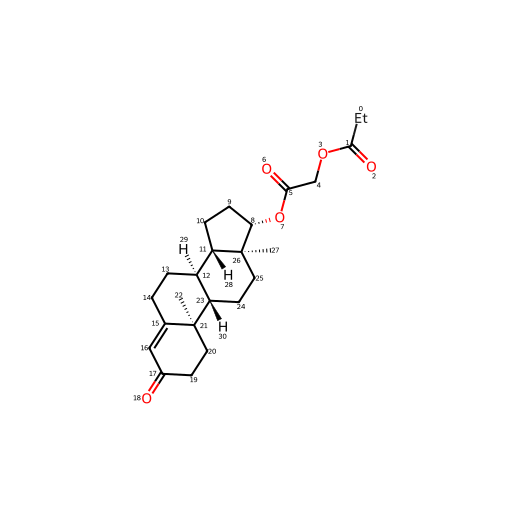 CCC(=O)OCC(=O)O[C@H]1CC[C@H]2[C@@H]3CCC4=CC(=O)CC[C@]4(C)[C@H]3CC[C@]12C